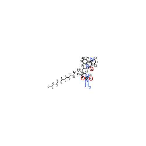 CCCCCCCCCCCCCCCC(CCN(C(=O)c1cccnc1)c1ccccc1)C(C)CN([C]=O)C(N)=O